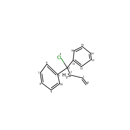 C=C[SiH2]C(Cl)(c1ccccc1)c1ccccc1